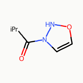 CC(C)C(=O)N1C=CON1